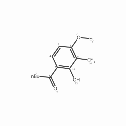 CCCCC(=O)c1ccc(OCC)c(C(F)(F)F)c1O